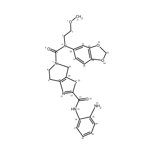 COCCN(C(=O)N1CCc2nc(C(=O)Nc3ccccc3N)sc2C1)c1ccc2c(c1)OCO2